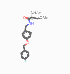 COC[C@@H](NC(C)=O)C(=O)NCc1ccc(OCc2ccc(F)cc2)cc1